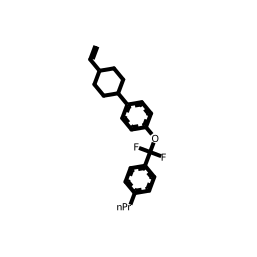 C=CC1CCC(c2ccc(OC(F)(F)c3ccc(CCC)cc3)cc2)CC1